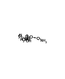 C=CC(c1ccc(C#Cc2ccc(CN)cc2)cc1)S(=O)(=O)C(N)(CC(O)CSc1nccs1)C(=O)O